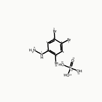 NNc1cc(Br)c(Br)cc1Br.O=P(O)(O)O